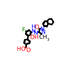 CC1=NN(c2ccc3c(c2)CCCC3)C(=O)C1=NNc1cc(F)cc(-c2ccc(C(=O)O)cc2)c1O